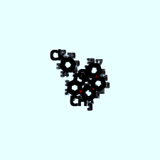 Cc1ccc2c(c1)P(c1ccccc1)(c1ccccc1)(c1ccccc1)O[C@H]2c1ccc(Cl)cc1